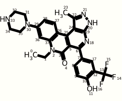 CCn1c(=O)c2c(-c3ccc(O)c(C(F)(F)F)c3)nc3[nH]nc(C)c3c2c2ccc(N3CCNCC3)cc21